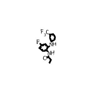 C=CC(=O)Nc1ccc(F)cc1Nc1cccc(C(F)(F)F)c1